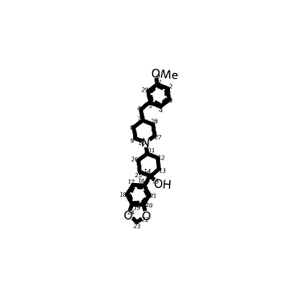 COc1cccc(CC2CCN(C3CCC(O)(c4ccc5c(c4)OCO5)CC3)CC2)c1